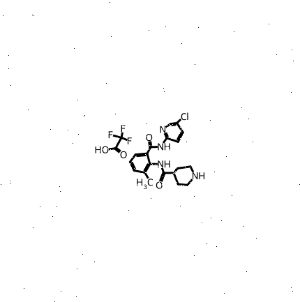 Cc1cccc(C(=O)Nc2ccc(Cl)cn2)c1NC(=O)C1CCNCC1.O=C(O)C(F)(F)F